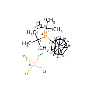 CC(C)(C)[PH+](C(C)(C)C)[C]12[CH]3[CH]4[CH]5[CH]1[Fe]45321678[CH]2[CH]1[CH]6[CH]7[CH]28.F[B-](F)(F)F